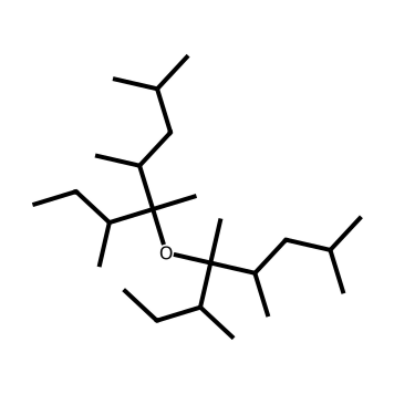 CCC(C)C(C)(OC(C)(C(C)CC)C(C)CC(C)C)C(C)CC(C)C